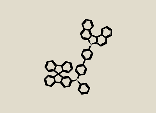 c1ccc(N(c2ccc(-c3ccc(-n4c5ccc6ccccc6c5c5c6ccccc6ccc54)cc3)cc2)c2ccc3c(c2)C2(c4ccccc4-c4ccccc42)c2ccccc2-3)cc1